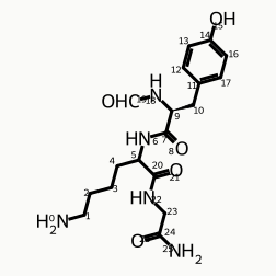 NCCCCC(NC(=O)[C@H](Cc1ccc(O)cc1)NC=O)C(=O)NCC(N)=O